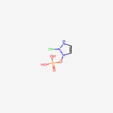 O=P(O)(O)ON1C=CNN1Cl